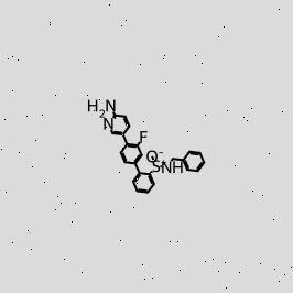 Nc1ccc(-c2ccc(-c3ccccc3[S+]([O-])NCc3ccccc3)cc2F)cn1